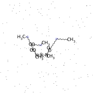 CC/C=C\CCCCOC(CCC(=O)OCCCN(C)CCSSCCN(C)CCCOC(=O)CCCCCCC/C=C\CCCCCCCC)OCCCC/C=C\CC